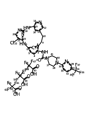 O=C(Nc1ccc2cc1CCc1cncc(c1)Nc1ncc(Cl)c(n1)N2)N1CCN(c2ccc(C(F)(F)F)cn2)CC1.O=C(O)C(F)(F)F.O=C(O)C(F)(F)F.O=C(O)C(F)(F)F